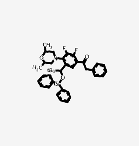 CC1CN(c2c(C(O[SiH](c3ccccc3)c3ccccc3)C(C)(C)C)cc(C(=O)Cc3ccccc3)c(F)c2F)CC(C)O1